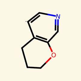 [c]1cncc2c1CCCO2